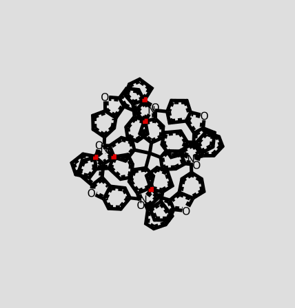 c1ccc2c(c1)c1ccccc1n2-c1ccc2oc3ccc4oc5ccc(C(c6ccc7oc8ccc9oc%10ccc(-n%11c%12ccccc%12c%12ccccc%12%11)cc%10c9c8c7c6)(c6ccc7oc8ccc9oc%10ccc(-n%11c%12ccccc%12c%12ccccc%12%11)cc%10c9c8c7c6)c6ccc7oc8ccc9oc%10ccc(-n%11c%12ccccc%12c%12ccccc%12%11)cc%10c9c8c7c6)cc5c4c3c2c1